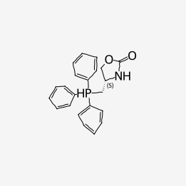 O=C1N[C@H](C[PH](c2ccccc2)(c2ccccc2)c2ccccc2)CO1